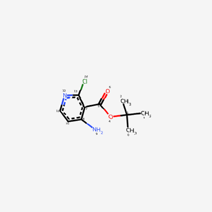 CC(C)(C)OC(=O)c1c(N)ccnc1Cl